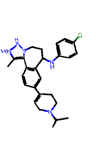 CC1=C2c3ccc(C4=CCN(C(C)C)CC4)cc3C(Nc3ccc(Cl)cc3)CCN2NN1